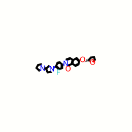 O=c1c2ccc(OC[C@@H]3CCCO3)cc2ccn1-c1ccc(N2CC[C@@H](N3CCCC3)C2)c(F)c1